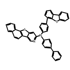 c1ccc(-c2ccc(N(c3ccc(-c4cccc5c4sc4ccccc45)cc3)c3cc4sc5c6ccccc6ccc5c4cn3)cc2)cc1